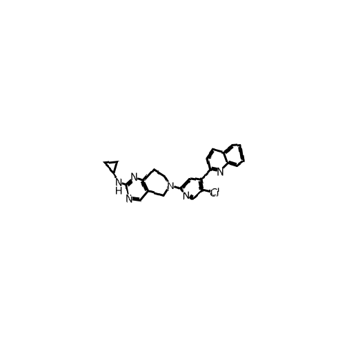 Clc1cnc(N2CCc3nc(NC4CC4)ncc3C2)cc1-c1ccc2ccccc2n1